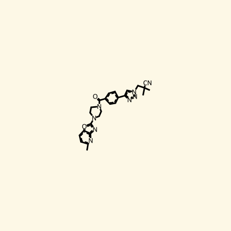 Cc1ccc2oc(N3CCN(C(=O)c4ccc(-c5cn(CC(C)(C)C#N)nn5)cc4)CC3)nc2n1